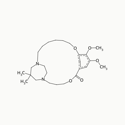 COc1cc2cc(c1OC)OCCCCCCN1CCN(CCCOC2=O)CC(C)(C)C1